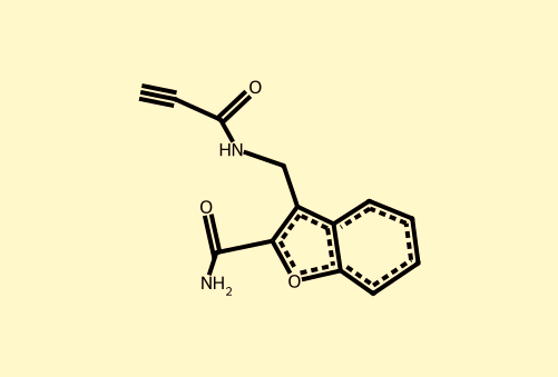 C#CC(=O)NCc1c(C(N)=O)oc2ccccc12